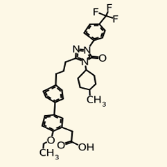 CCOc1ccc(-c2ccc(CCCc3nn(-c4ccc(C(F)(F)F)cc4)c(=O)n3C3CCC(C)CC3)cc2)cc1CC(=O)O